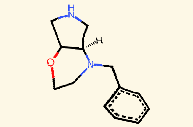 c1ccc(CN2CCOC3CNC[C@H]32)cc1